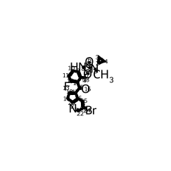 CN(C1CC1)S(=O)(=O)Nc1ccc(F)c(C(=O)C2=CCc3ncc(Br)cc32)c1F